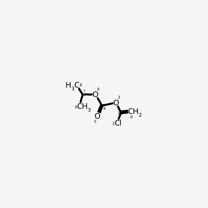 C=C(Cl)OC(=O)OC(C)C